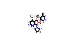 Cc1cncc(OCc2cccnc2C(=O)N2CCCC2)c1C=O